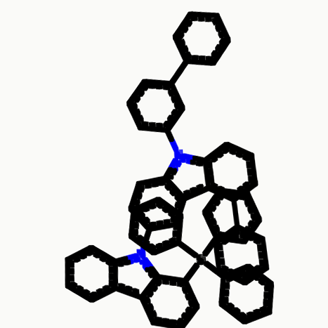 c1ccc(-c2cccc(-n3c4ccc(-n5c6ccccc6c6cccc([Si](c7ccccc7)(c7ccccc7)c7ccccc7)c65)cc4c4c(-c5ccccc5)cccc43)c2)cc1